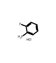 Cl.Fc1ccccc1P